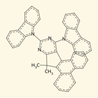 CC1(C)c2nc(-n3c4ccccc4c4ccccc43)nc(-n3c4ccccc4c4ccccc43)c2-c2c1c1ccccc1c1ccccc21